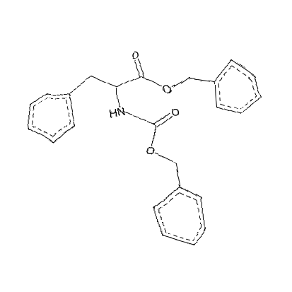 O=C(NC(Cc1ccccc1)C(=O)OCc1ccccc1)OCc1ccccc1